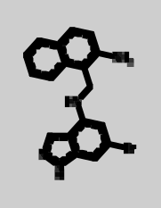 Nc1ccc2ccccc2c1CNc1cc(Br)cc2[nH]ncc12